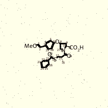 CO/C=C/c1ccc(OC2C[C@@H](C(=O)O)N(C(=O)[C@H](C)CSC(=O)c3ccccc3)C2)cc1